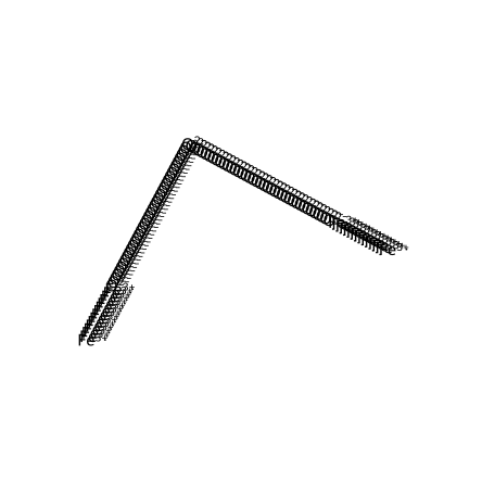 [Fe+3].[Fe+3].[Fe+3].[Fe+3].[Fe+3].[Fe+3].[Fe+3].[Fe+3].[Fe+3].[Fe+3].[Fe+3].[Fe+3].[Fe+3].[Fe+3].[Fe+3].[Fe+3].[Fe+3].[Fe+3].[Fe+3].[Fe+3].[Fe+3].[Fe+3].[Fe+3].[Fe+3].[Fe+3].[Fe+3].[Fe+3].[Fe+3].[Fe+3].[Fe+3].[O-2].[O-2].[O-2].[O-2].[O-2].[O-2].[O-2].[O-2].[O-2].[O-2].[O-2].[O-2].[O-2].[O-2].[O-2].[O-2].[O-2].[O-2].[O-2].[O-2].[O-2].[O-2].[O-2].[O-2].[O-2].[O-2].[O-2].[O-2].[O-2].[O-2].[O-2].[O-2].[O-2].[O-2].[O-2].[O-2].[O-2].[O-2].[O-2].[O-2].[O-2].[O-2].[O-2].[O-2].[O-2].[O-2].[O-2].[O-2].[O-2].[O-2].[O-2].[O-2].[O-2].[O-2].[O-2].[O-2].[O-2].[O-2].[O-2].[O-2].[O-2].[O-2].[O-2].[O-2].[O-2].[O-2].[O-2].[O-2].[O-2].[O-2].[O-2].[O-2].[O-2].[O-2].[O-2].[O-2].[O-2].[O-2].[O-2]